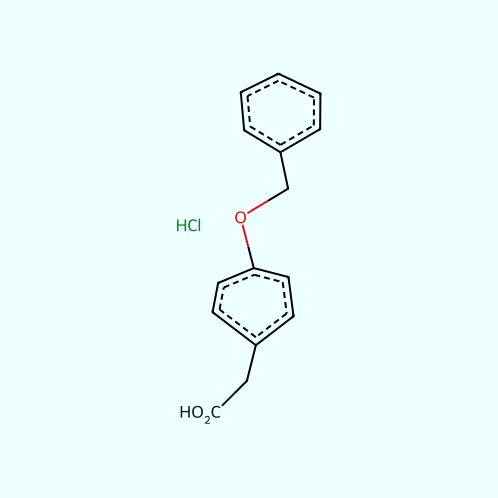 Cl.O=C(O)Cc1ccc(OCc2ccccc2)cc1